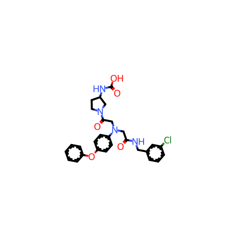 O=C(O)NC1CCN(C(=O)CN(CC(=O)NCc2cccc(Cl)c2)c2ccc(Oc3ccccc3)cc2)C1